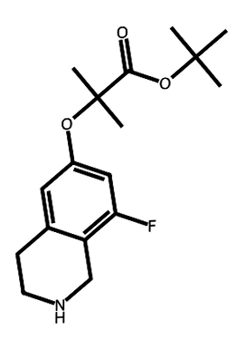 CC(C)(C)OC(=O)C(C)(C)Oc1cc(F)c2c(c1)CCNC2